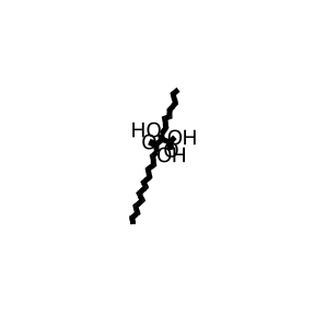 CCCCCCCCCCCCC(O)C(=O)C(C(=O)O)=C(O)CCCCCCC